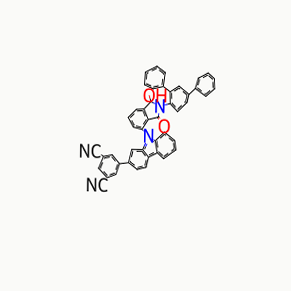 N#Cc1cc(C#N)cc(-c2ccc3c4ccccc4n(-c4cccc5c4C(=O)N(c4ccc(-c6ccccc6)cc4-c4ccccc4)C5O)c3c2)c1